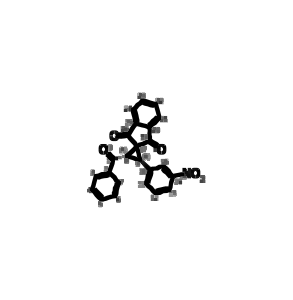 O=C(c1ccccc1)[C@H]1[C@H](c2cccc([N+](=O)[O-])c2)C12C(=O)c1ccccc1C2=O